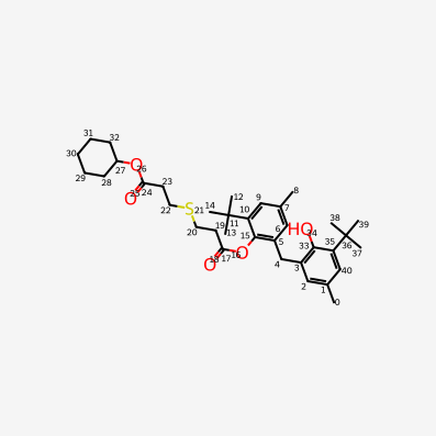 Cc1cc(Cc2cc(C)cc(C(C)(C)C)c2OC(=O)CCSCCC(=O)OC2CCCCC2)c(O)c(C(C)(C)C)c1